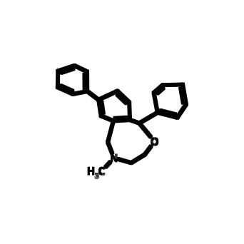 CN1CCOC(c2ccccc2)c2ccc(-c3ccccc3)cc2C1